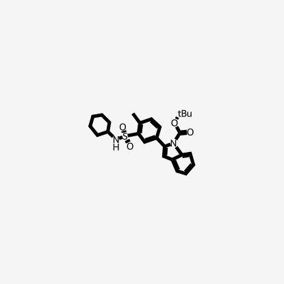 Cc1ccc(-c2cc3ccccc3n2C(=O)OC(C)(C)C)cc1S(=O)(=O)NC1CCCCC1